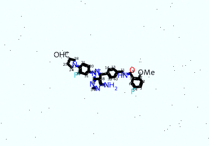 COc1ccc(F)cc1C(=O)NCc1ccc(-c2nn(-c3ccc(N4CC[C@H](C=O)C4)c(F)c3)c3ncnc(N)c23)cc1